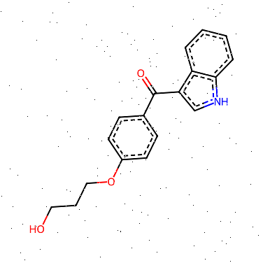 O=C(c1ccc(OCCCO)cc1)c1c[nH]c2ccccc12